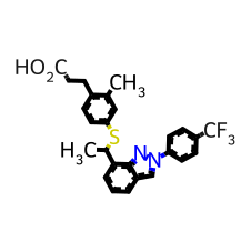 Cc1cc(SC(C)c2cccc3cn(-c4ccc(C(F)(F)F)cc4)nc23)ccc1CCC(=O)O